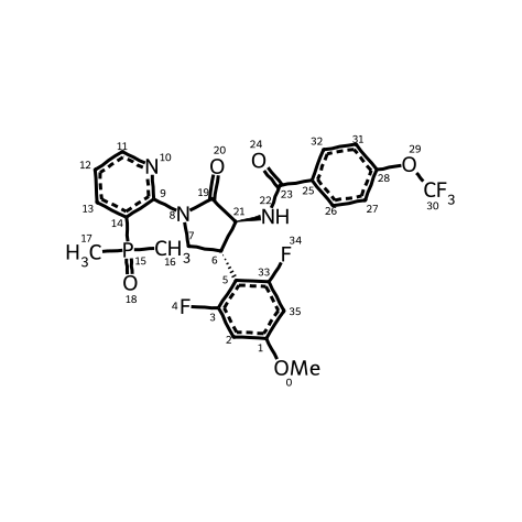 COc1cc(F)c([C@@H]2CN(c3ncccc3P(C)(C)=O)C(=O)[C@H]2NC(=O)c2ccc(OC(F)(F)F)cc2)c(F)c1